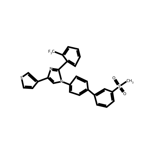 CS(=O)(=O)c1cccc(-c2ccc(-n3cc(-c4ccsc4)nc3-c3ccccc3C(F)(F)F)cc2)c1